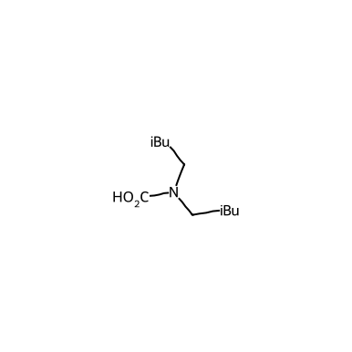 CCC(C)CN(CC(C)CC)C(=O)O